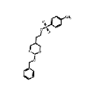 Cc1ccc(S(=O)(=O)OCCC2COP(OCc3ccccc3)OC2)cc1